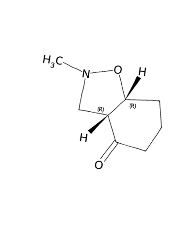 CN1C[C@H]2C(=O)CCC[C@H]2O1